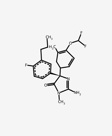 CCCc1cc([C@@]2(C3C=CC(OC(F)F)=C(C)C3)N=C(N)N(C)C2=O)ccc1F